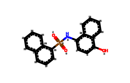 O=S(=O)(Nc1ccc(O)c2ccccc12)c1cccc2ccccc12